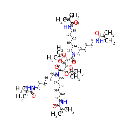 C=C(C)C(=O)NCCCCCCN(CCCCCCNC(=O)C(=C)C)C(=O)[C@H]1OC(C)(C)O[C@@H]1[C@@H]1OC(C)(C)O[C@H]1C(=O)N(CCCCCCNC(=O)C(=C)C)CCCCCCNC(=O)C(=C)C